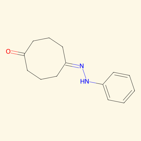 O=C1CCCC(=NNc2ccccc2)CCC1